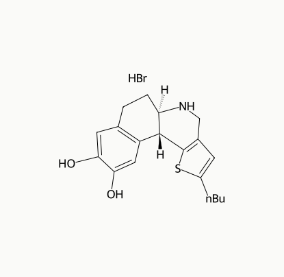 Br.CCCCc1cc2c(s1)[C@@H]1c3cc(O)c(O)cc3CC[C@H]1NC2